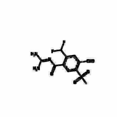 CS(=O)(=O)c1cc(C(=O)N=C(N)N)c(C(F)F)cc1C=O